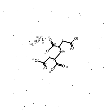 O=C([O-])CC(NC(CC(=O)[O-])C(=O)[O-])C(=O)[O-].[Li+].[Li+].[Li+].[Li+]